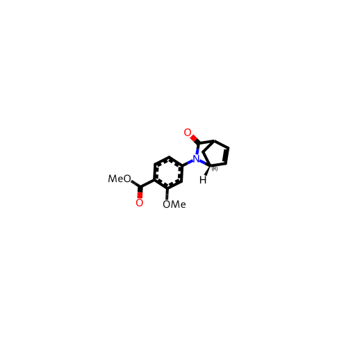 COC(=O)c1ccc(N2C(=O)C3C=C[C@H]2C3)cc1OC